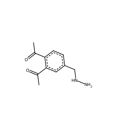 CC(=O)c1ccc(CNN)cc1C(C)=O